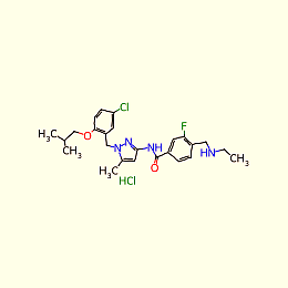 CCNCc1ccc(C(=O)Nc2cc(C)n(Cc3cc(Cl)ccc3OCC(C)C)n2)cc1F.Cl